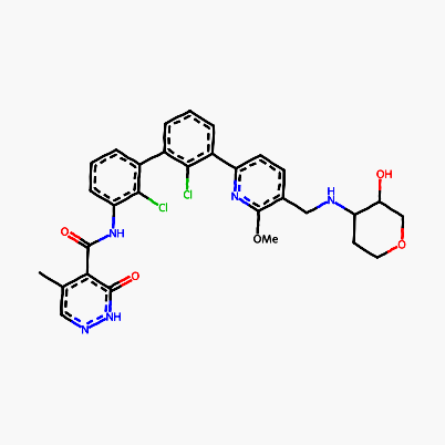 COc1nc(-c2cccc(-c3cccc(NC(=O)c4c(C)cn[nH]c4=O)c3Cl)c2Cl)ccc1CNC1CCOCC1O